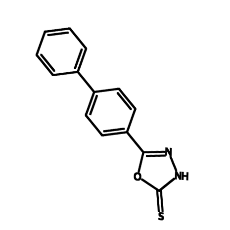 S=c1[nH]nc(-c2ccc(-c3ccccc3)cc2)o1